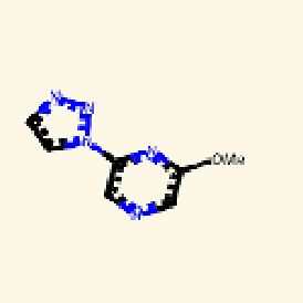 COc1cncc(-n2ccnn2)n1